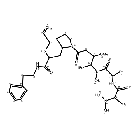 C=CCSC(CC1CCCN1C(=O)CC(OC)C(C(C)CC)N(C)C(=O)C(NC(=O)C(C(C)C)N(C)C)C(C)C)C(=O)NCCc1ccccc1